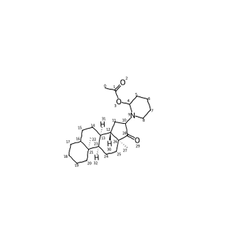 CC(=O)OC1CCCCN1C1C[C@H]2[C@@H]3CCC4CCCC[C@]4(C)[C@@H]3CC[C@]2(C)C1=O